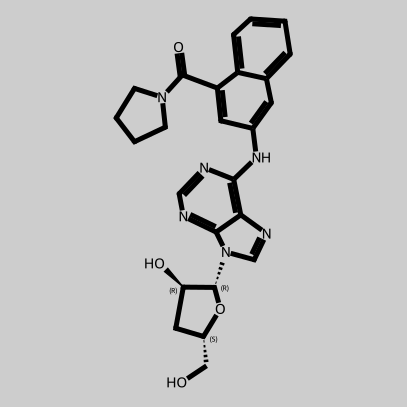 O=C(c1cc(Nc2ncnc3c2ncn3[C@@H]2O[C@H](CO)C[C@H]2O)cc2ccccc12)N1CCCC1